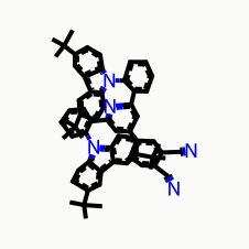 CC(C)(C)c1ccc2c(c1)c1cc(C(C)(C)C)ccc1n2-c1ccccc1-c1cc(-c2ccc(C#N)c(C#N)c2)cc(-c2ccccc2-n2c3ccc(C(C)(C)C)cc3c3cc(C(C)(C)C)ccc32)n1